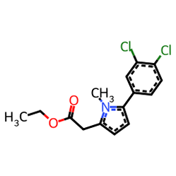 CCOC(=O)Cc1ccc(-c2ccc(Cl)c(Cl)c2)n1C